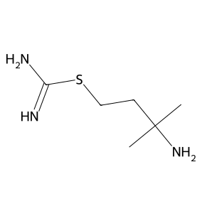 CC(C)(N)CCSC(=N)N